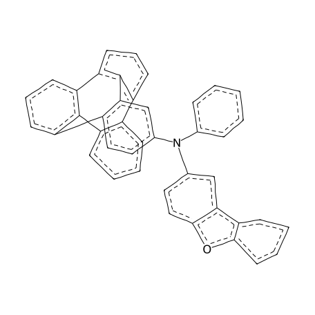 c1ccc(N(c2ccc3c(c2)-c2c4cccc2-c2cccc-3c2-c2ccccc2-4)c2ccc3oc4ccccc4c3c2)cc1